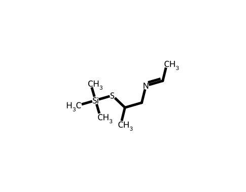 CC=NCC(C)S[Si](C)(C)C